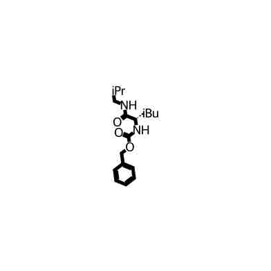 CCC(C)[C@H](NC(=O)OCc1ccccc1)C(=O)NCC(C)C